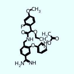 CC(=O)O.CCOC(C(=O)NCc1ccc(C(=N)N)cc1Oc1cccnc1)c1ccc(OC)cc1F